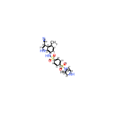 Cc1ccc(NS(=O)(=O)c2ccc(S(=O)(=O)N3CC4C[C@@H]3CN4)cc2)c2[nH]cc(C#N)c12